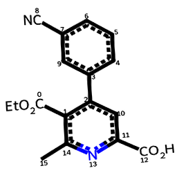 CCOC(=O)c1c(-c2cccc(C#N)c2)cc(C(=O)O)nc1C